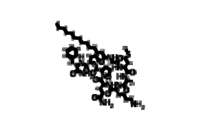 CCCCCCCCCCCCCC(=O)NCC(=O)N[C@@H](CCSC)C(=O)N[C@@H](C)C(=O)N[C@@H](CCCCN)C(=O)N[C@@H](CCC(N)=O)C(=O)N1CCC[C@H]1C(=O)N1CCC[C@H]1C(=O)N[C@@H](Cc1ccccc1)C(N)=O